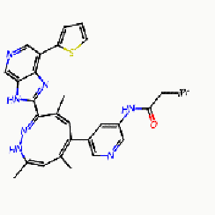 Cc1cc(C)c(-c2cncc(NC(=O)CC(C)C)c2)cc(C)c(-c2nc3c(-c4cccs4)cncc3[nH]2)n[nH]1